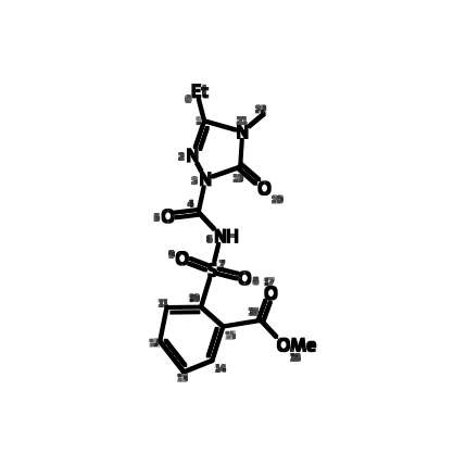 CCc1nn(C(=O)NS(=O)(=O)c2ccccc2C(=O)OC)c(=O)n1C